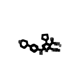 CNc1nc(Nc2ccc(C3CCOCC3)cc2)cc(C2CCCC2)c1C(N)=O